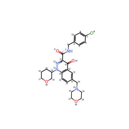 O=C(NCc1ccc(Cl)cc1)c1nn(C2CCCOC2)c2ccc(CN3CCOCC3)cc2c1=O